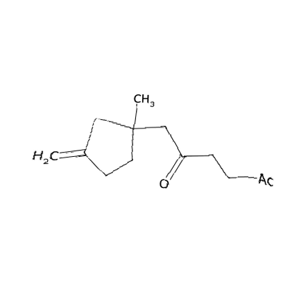 C=C1CCC(C)(CC(=O)CCC(C)=O)C1